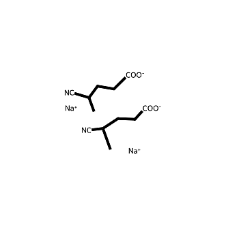 CC(C#N)CCC(=O)[O-].CC(C#N)CCC(=O)[O-].[Na+].[Na+]